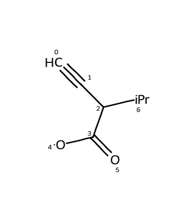 C#CC(C([O])=O)C(C)C